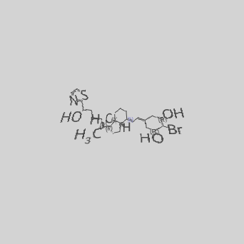 C[C@H](CCCC(O)c1nccs1)[C@H]1CC[C@H]2/C(=C/C=C3C[C@@H](O)C(Br)[C@H](O)C3)CCC[C@]12C